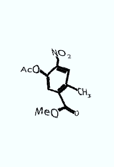 COC(=O)c1cc(OC(C)=O)c([N+](=O)[O-])cc1C